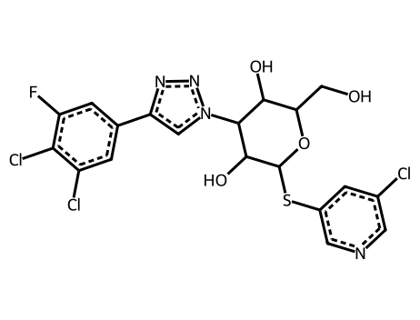 OCC1OC(Sc2cncc(Cl)c2)C(O)C(n2cc(-c3cc(F)c(Cl)c(Cl)c3)nn2)C1O